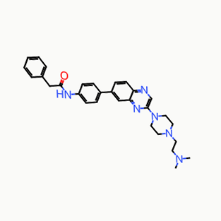 CN(C)CCN1CCN(c2cnc3ccc(-c4ccc(NC(=O)Cc5ccccc5)cc4)cc3n2)CC1